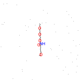 CCCCOCCCCCOCCCCCOCCNC(=O)CCCCCCCCOC(C)C